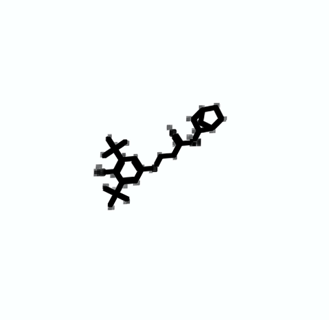 CC(C)(C)c1cc(SCCC(=O)NC2CC3CCC2C3)cc(C(C)(C)C)c1O